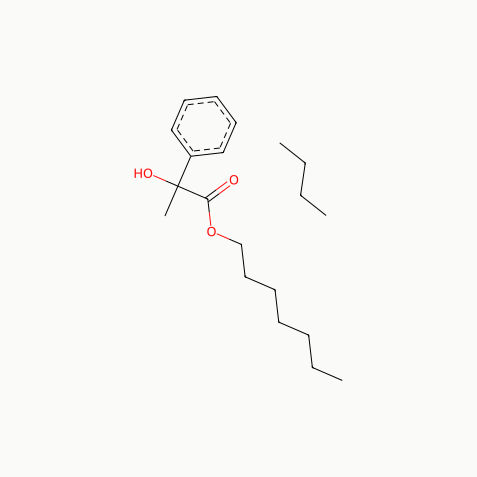 CCCC.CCCCCCCOC(=O)C(C)(O)c1ccccc1